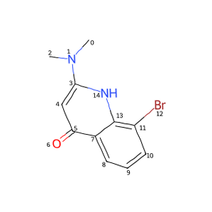 CN(C)c1cc(=O)c2cccc(Br)c2[nH]1